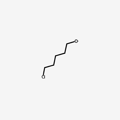 [O]CCCCCCl